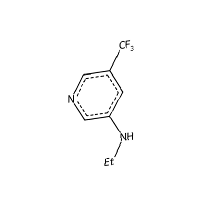 [CH2]CNc1cncc(C(F)(F)F)c1